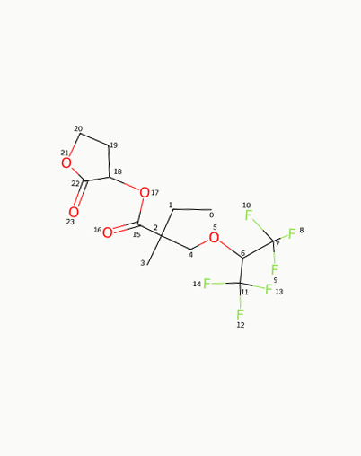 CCC(C)(COC(C(F)(F)F)C(F)(F)F)C(=O)OC1CCOC1=O